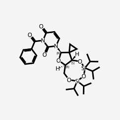 CC(C)[Si]1(C(C)C)OC[C@H]2O[C@@H](n3ccc(=O)n(C(=O)c4ccccc4)c3=O)C3(CC3)[C@@H]2O[Si](C(C)C)(C(C)C)O1